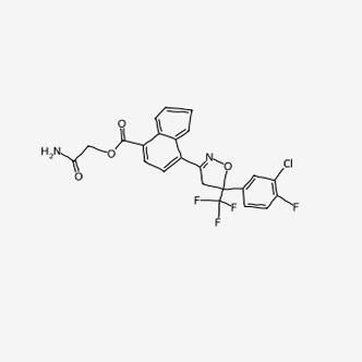 NC(=O)COC(=O)c1ccc(C2=NOC(c3ccc(F)c(Cl)c3)(C(F)(F)F)C2)c2ccccc12